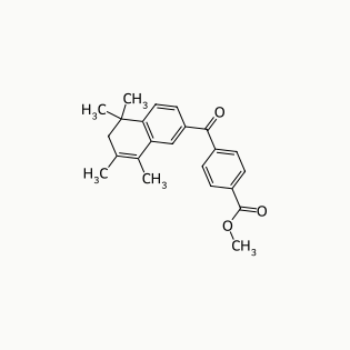 COC(=O)c1ccc(C(=O)c2ccc3c(c2)C(C)=C(C)CC3(C)C)cc1